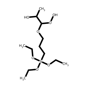 CCO[Si](CCCOC(OO)C(C)O)(OCC)OCC